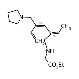 C=C/C(=C\C(=C/C)CNCC(=O)OCC)CN1CCCC1